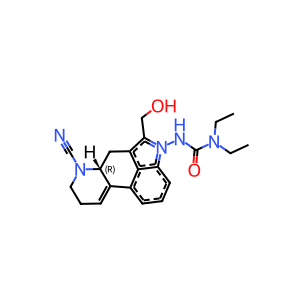 CCN(CC)C(=O)Nn1c(CO)c2c3c(cccc31)C1=CCCN(C#N)[C@@H]1C2